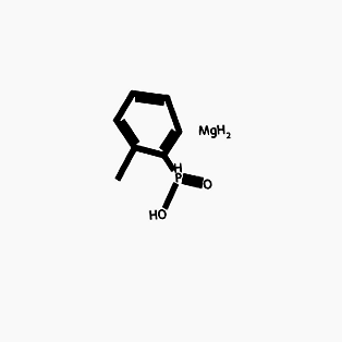 Cc1ccccc1[PH](=O)O.[MgH2]